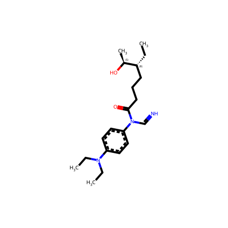 CC[C@H](CCCC(=O)N(C=N)c1ccc(N(CC)CC)cc1)[C@H](C)O